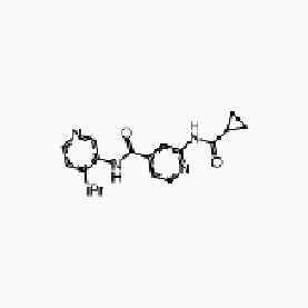 CC(C)c1ccncc1NC(=O)c1ccnc(NC(=O)C2CC2)c1